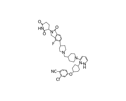 N#Cc1ccc(OC2CCC(N3NC=CC=C3N3CCC(CN4CCC(c5ccc6c(c5F)CN(C5CCC(=O)NC5=O)C6=O)CC4)CC3)CC2)cc1Cl